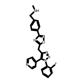 CNCc1ccc(-c2noc(Cc3nnn(-c4ccccc4F)c3-c3ccncc3)n2)cc1